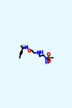 CC#C/C(C)=N\OCCNCCNS(C)(=O)=O